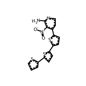 Nc1nccc(-c2ccc(-c3ccc(-c4cccs4)s3)s2)c1[N+](=O)[O-]